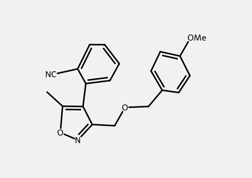 COc1ccc(COCc2noc(C)c2-c2ccccc2C#N)cc1